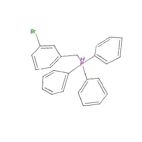 Brc1cccc(C[PH](c2ccccc2)(c2ccccc2)c2ccccc2)c1